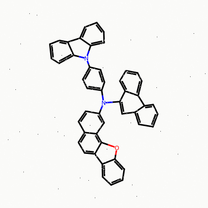 c1ccc2c(c1)cc(N(c1ccc(-n3c4ccccc4c4ccccc43)cc1)c1ccc3ccc4c5ccccc5oc4c3c1)c1ccccc12